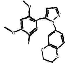 COc1cc(OC)c(-c2ccnn2-c2ccc3c(c2)OCCO3)cc1I